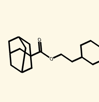 O=C(OCCC1CCCCC1)C12CC3CC(CC(C3)C1)C2